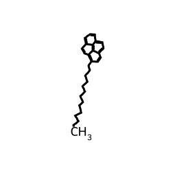 CCCCCCCCCCCCCCc1ccc2ccc3cccc4ccc1c2c34